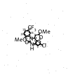 COC(=O)CC1c2sc(Cl)cc2NC(=O)N1c1cc(C(F)(F)F)ccc1OC